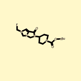 CC(C)(C)OC(=O)N1CCC(N2CN3CN(CF)C=C3C2=O)CC1